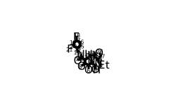 CCN1C(=O)c2c(O)c(=O)c(C(=O)NCc3ccc(F)cc3F)cn2[C@@H]2COCC21